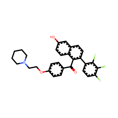 O=C(c1ccc(OCCN2CCCCC2)cc1)c1c(-c2ccc(F)c(F)c2F)ccc2cc(O)ccc12